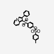 Cc1ccc(S(=O)(=O)Oc2ccc(S(=O)(=O)c3c(-c4ccccc4)cn4ccccc34)cc2)cc1